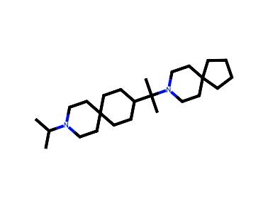 CC(C)N1CCC2(CCC(C(C)(C)N3CCC4(CCCC4)CC3)CC2)CC1